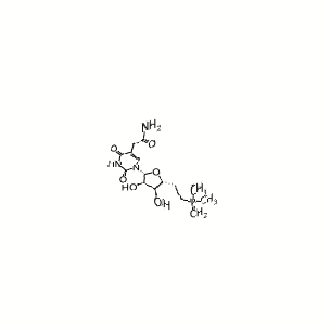 C=P(C)(C)CC[C@H]1O[C@@H](n2cc(CC(N)=O)c(=O)[nH]c2=O)[C@H](O)[C@@H]1O